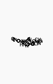 C[C@@H](Cn1cncn1)Oc1cc(-c2cnc(Nc3cn(C4CCC(N5CCOCC5)CC4)nc3OCc3ccnn3C)nc2)ccc1Cl